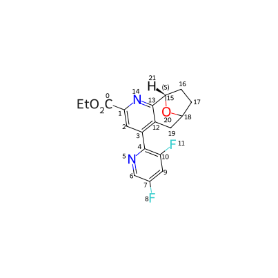 CCOC(=O)c1cc(-c2ncc(F)cc2F)c2c(n1)[C@@H]1CCC(C2)O1